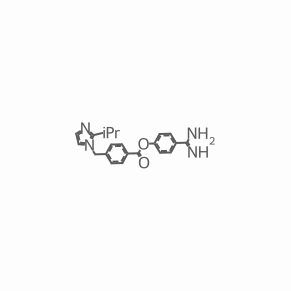 CC(C)c1nccn1Cc1ccc(C(=O)Oc2ccc(C(=N)N)cc2)cc1